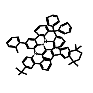 Cc1ccccc1-c1cc2c3c(c1)N(c1ccc(C(C)(C)C)cc1-c1ccccc1)c1ccc4c(oc5cc6c(cc54)C(C)(C)CCC6(C)C)c1B3N1c3ccccc3C(c3ccccc3)(c3ccccc3)c3cccc-2c31